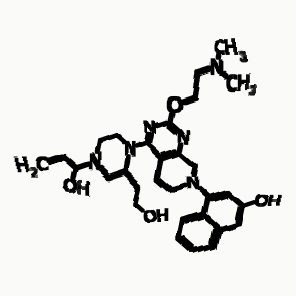 C=CC(O)N1CCN(c2nc(OCCN(C)C)nc3c2CCN(c2cc(O)cc4ccccc24)C3)C(CCO)C1